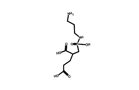 NCCCNP(=O)(O)CC(CCC(=O)O)C(=O)O